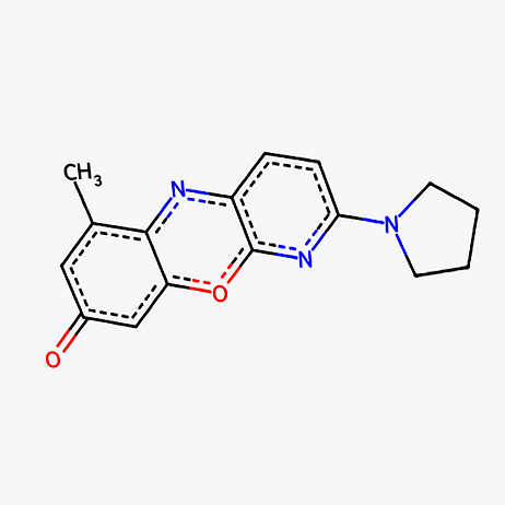 Cc1cc(=O)cc2oc3nc(N4CCCC4)ccc3nc1-2